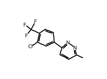 Cc1ccc(-c2ccc(C(F)(F)F)c(Cl)c2)nn1